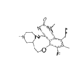 Cc1c(F)c2c3c(nc(=O)n(C)c3c1F)N1CCN(C)CC1CCO2